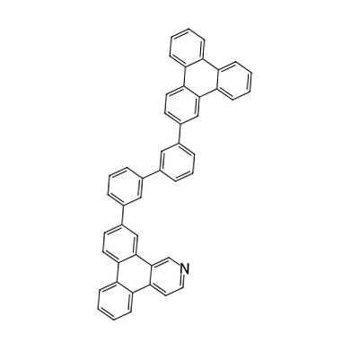 c1cc(-c2cccc(-c3ccc4c5ccccc5c5ccncc5c4c3)c2)cc(-c2ccc3c4ccccc4c4ccccc4c3c2)c1